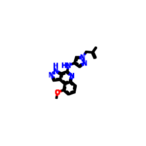 C=C(C)Cn1cc(Nc2nc3cccc(OC)c3c3cn[nH]c23)cn1